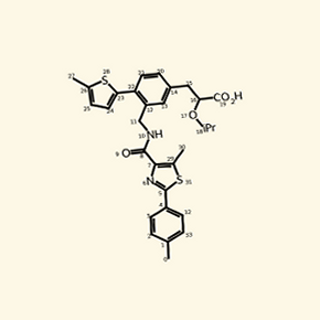 Cc1ccc(-c2nc(C(=O)NCc3cc(CC(OC(C)C)C(=O)O)ccc3-c3ccc(C)s3)c(C)s2)cc1